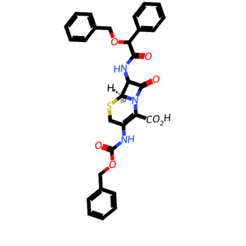 O=C(NC1=C(C(=O)O)N2C(=O)C(NC(=O)C(OCc3ccccc3)c3ccccc3)[C@@H]2SC1)OCc1ccccc1